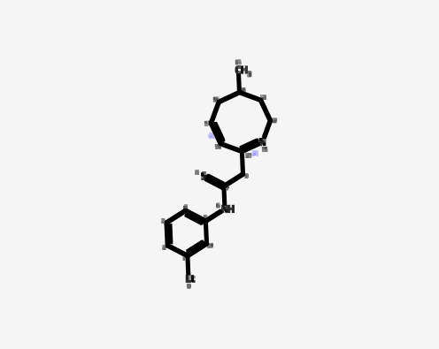 CCc1cccc(NC(=S)CC2=N/CCC(C)C/C=C\2)c1